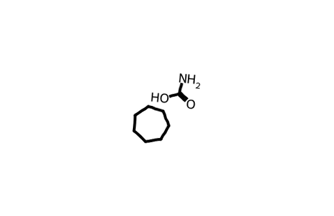 C1CCCCCC1.NC(=O)O